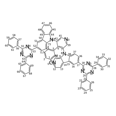 N#Cc1cccc(-c2c(-n3c4ccccc4c4cc(-c5nc(-c6ccccc6)nc(-c6ccccc6)n5)ccc43)cncc2-n2c3ccccc3c3cc(-c4nc(-c5ccccc5)nc(-c5ccccc5)n4)ccc32)c1